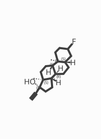 C#C[C@]1(O)CC[C@H]2[C@@H]3CC[C@H]4CC(F)CC[C@]4(C)[C@H]3CC[C@@]21C